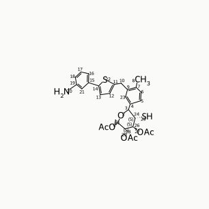 CC(=O)O[C@H]1OC(c2ccc(C)c(Cc3ccc(-c4cccc(N)c4)s3)c2)[C@H](S)[C@@H](OC(C)=O)[C@@H]1OC(C)=O